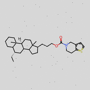 CC[C@H]1CC2C3CCC(CCCOC(=O)N4CCc5sccc5C4)C3(C)CC[C@@H]2C2(C)CCCCC12